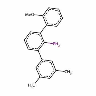 COc1ccccc1-c1cccc(-c2cc(C)cc(C)c2)c1P